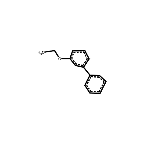 CCOc1cc[c]c(-c2ccccc2)c1